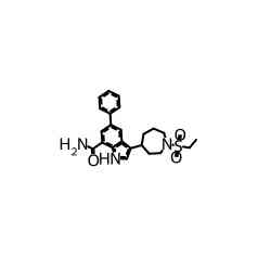 CCS(=O)(=O)N1CCCC(c2c[nH]c3c(C(N)=O)cc(-c4ccccc4)cc23)CC1